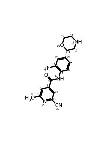 Cc1cc(C(=O)Nc2ccc([C@H]3CNCCO3)cc2F)cc(C#N)n1